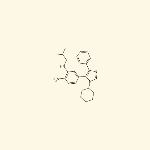 CC(C)CNc1cc(-c2c(-c3ccccc3)ncn2C2CCCCC2)ccc1N